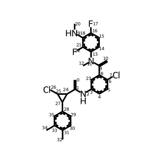 C=C(Nc1ccc(Cl)c(C(=C)N(C)c2ccc(F)c(NC)c2F)c1)C1C(Cl)C1c1ccc(C)c(C)c1